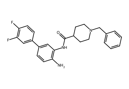 Nc1ccc(-c2ccc(F)c(F)c2)cc1NC(=O)C1CCN(Cc2ccccc2)CC1